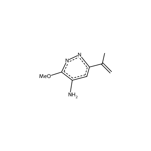 C=C(C)c1cc(N)c(OC)nn1